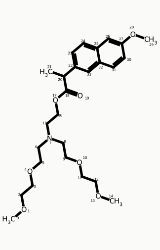 COCCOCCN(CCOCCOC)CCOC(=O)C(C)c1ccc2cc(OC)ccc2c1